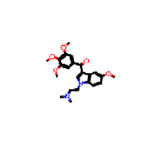 COc1ccc2c(c1)c(C(=O)c1cc(OC)c(OC)c(OC)c1)cn2CCN(C)C